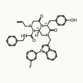 C=CCN1CC(=O)N2[C@@H](Cc3ccc(O)cc3)C(=O)N(Cc3cn(-c4cccc(F)c4)c4ccccc34)C[C@@H]2N1C(=O)NCc1ccccc1